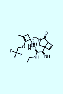 CCNC(=O)C(=N)C12C=CC1C(=O)N(C[C@@]1(NN)CC(C)=C1OCC(F)(F)F)C2